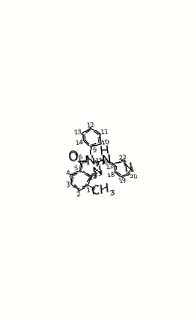 Cc1cccc2c(=O)n(-c3ccccc3)c(Nc3cccnc3)nc12